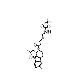 Cc1ccc2[nH]c3c(c2c1)CCN(C(=O)CCCCNC(=O)OC(C)(C)C)C3CC(C)C